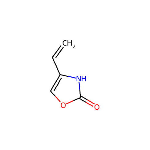 C=Cc1coc(=O)[nH]1